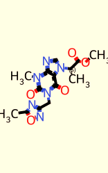 COC(=O)[C@H](C)n1cnc2c1c(=O)n(Cc1noc(C)n1)c(=O)n2C